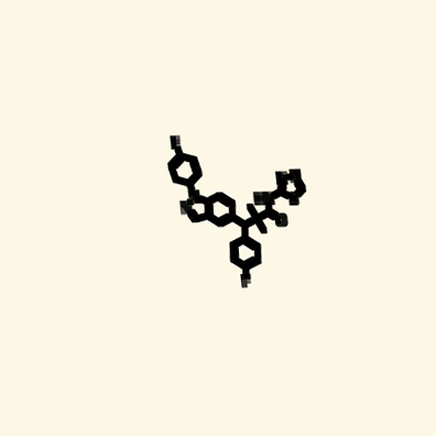 CC(C)(C(=O)Nc1nncs1)C(c1ccc(F)cc1)c1ccc2c(cnn2C2C=CC(F)=CC2)c1